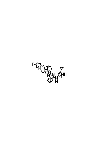 C[C@@]1(C(=O)Nc2ccc(F)cn2)CCCN1c1nc(Nc2cc(C3CC3)[nH]n2)n2cccc2n1